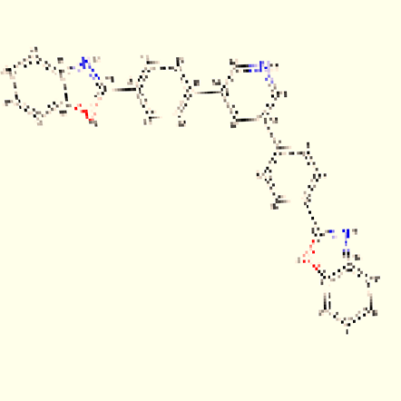 c1ccc2oc(-c3ccc(-c4cncc(-c5ccc(-c6nc7ccccc7o6)cc5)c4)cc3)nc2c1